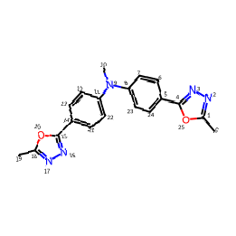 Cc1nnc(-c2ccc(N(C)c3ccc(-c4nnc(C)o4)cc3)cc2)o1